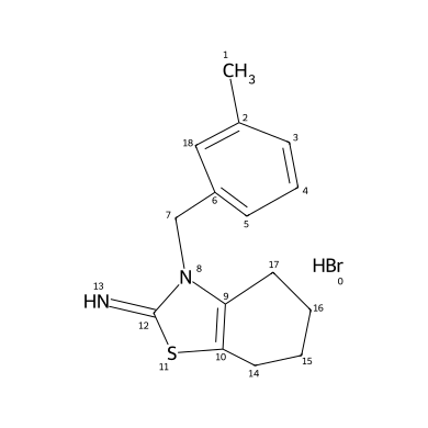 Br.Cc1cccc(Cn2c3c(sc2=N)CCCC3)c1